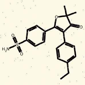 CCc1ccc(C2=C(c3ccc(S(N)(=O)=O)cc3)OC(C)(C)C2=O)cc1